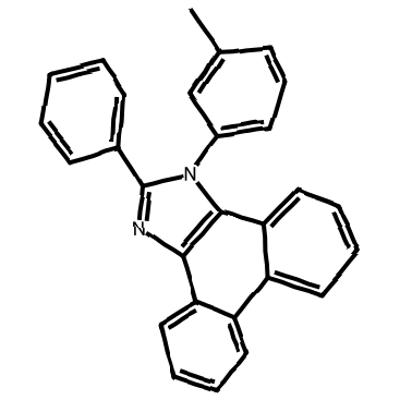 Cc1cccc(-n2c(-c3ccccc3)nc3c4ccccc4c4ccccc4c32)c1